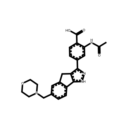 CC(=O)Nc1cc(-c2n[nH]c3c2Cc2cc(CN4CCOCC4)ccc2-3)ccc1C(=O)O